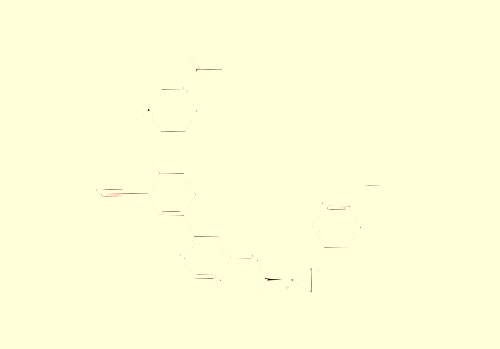 COc1ccc([C@@H]2C[C@H]2C(=O)Nc2cc(-c3ccc(O[C@H]4CCN(C(=O)CO)CC4(F)F)c(C#N)c3)ncn2)cn1